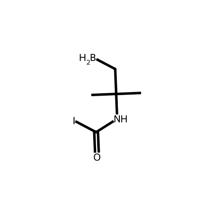 BCC(C)(C)NC(=O)I